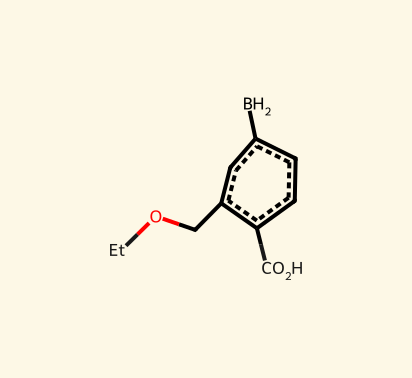 Bc1ccc(C(=O)O)c(COCC)c1